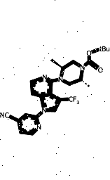 C[C@@H]1CN(c2nccc3c2c(C(F)(F)F)cn3-c2cc(C#N)ccn2)[C@@H](C)CN1C(=O)OC(C)(C)C